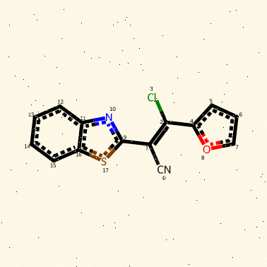 N#CC(=C(Cl)c1ccco1)c1nc2ccccc2s1